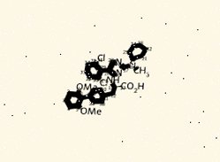 COc1cccc(OC)c1-c1ccc(C[C@H](Nc2nc(N(C)C3CCCCC3)ncc2-c2c(Cl)cccc2Cl)C(=O)O)cc1